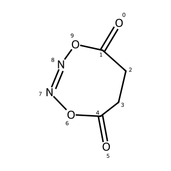 O=C1CCC(=O)ON=NO1